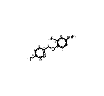 CCCc1ccc(OCc2ccc(F)cn2)c(F)c1